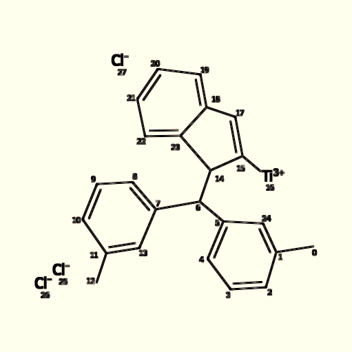 Cc1cccc(C(c2cccc(C)c2)C2[C]([Ti+3])=Cc3ccccc32)c1.[Cl-].[Cl-].[Cl-]